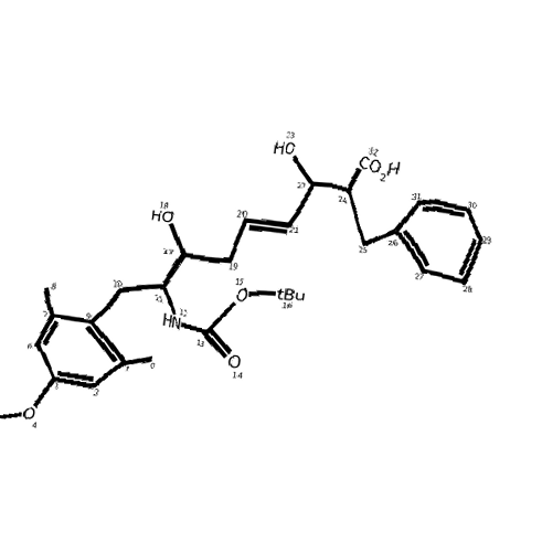 Cc1cc(OC(C)(C)C)cc(C)c1CC(NC(=O)OC(C)(C)C)C(O)CC=CC(O)C(Cc1ccccc1)C(=O)O